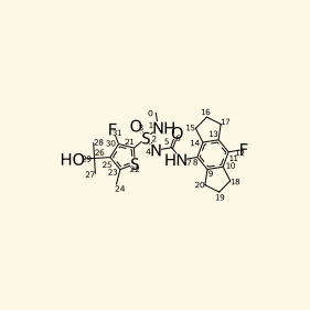 CNS(=O)(=NC(=O)Nc1c2c(c(F)c3c1CCC3)CCC2)c1sc(C)c(C(C)(C)O)c1F